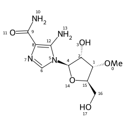 CO[C@H]1[C@@H](O)[C@H](n2cnc(C(N)=O)c2N)O[C@@H]1CO